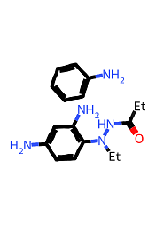 CCC(=O)NN(CC)c1ccc(N)cc1N.Nc1ccccc1